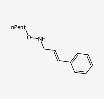 CCCCCONCC=Cc1ccccc1